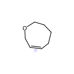 C1=C\COCCCC/1